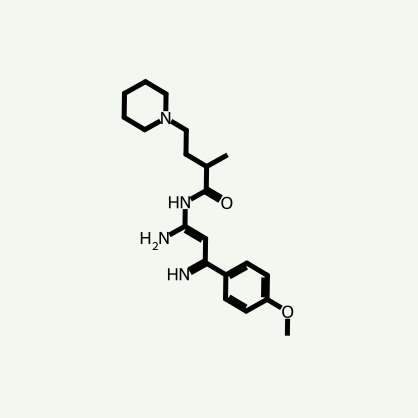 COc1ccc(C(=N)/C=C(\N)NC(=O)C(C)CCN2CCCCC2)cc1